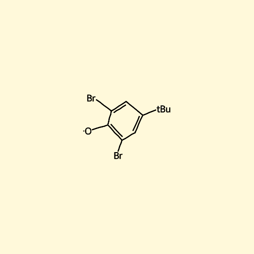 CC(C)(C)c1cc(Br)c([O])c(Br)c1